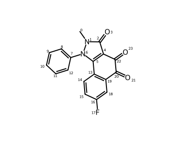 Cn1c(=O)c2c(n1-c1ccccc1)-c1ccc(F)cc1C(=O)C2=O